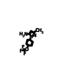 Cc1cc(N)n(-c2ccc(OC(F)(F)F)cc2)n1